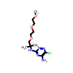 CC(C)(COCCOCCOC(F)(F)F)Nc1nnc(Cl)c(N)n1